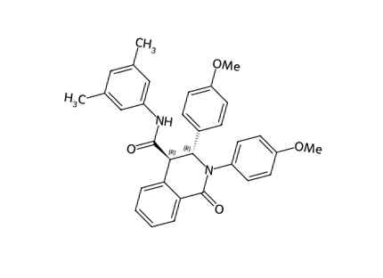 COc1ccc([C@H]2[C@H](C(=O)Nc3cc(C)cc(C)c3)c3ccccc3C(=O)N2c2ccc(OC)cc2)cc1